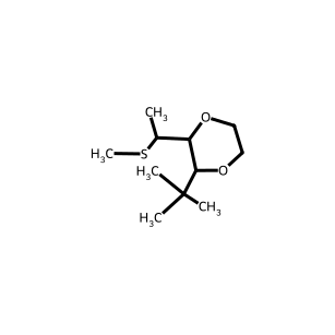 CSC(C)C1OCCOC1C(C)(C)C